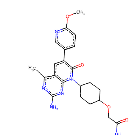 COc1ccc(-c2cc3c(C)nc(N)nc3n(C3CCC(OCC(N)=O)CC3)c2=O)cn1